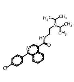 CC(C)N(CCNC(=O)c1cnc(-c2ccc(Cl)cc2)c2ccccc12)C(C)C